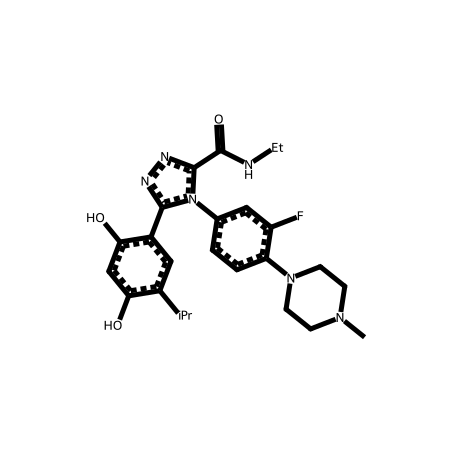 CCNC(=O)c1nnc(-c2cc(C(C)C)c(O)cc2O)n1-c1ccc(N2CCN(C)CC2)c(F)c1